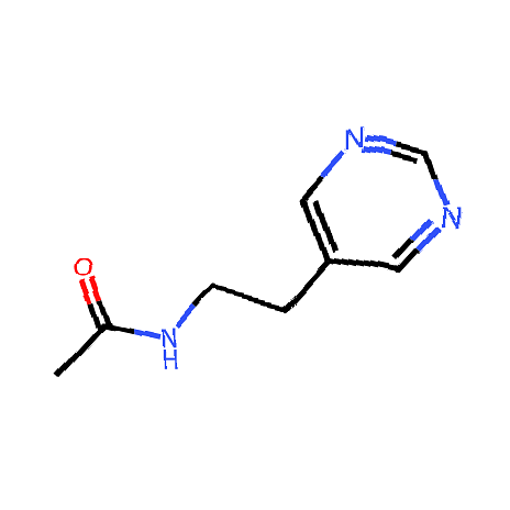 CC(=O)NCCc1cncnc1